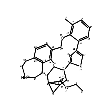 CCOC(=O)[C@@]12CCN(c3nc(-c4cccc(C)c4OCc4ccc5c(c4C)CCNCC5)cs3)CC1C2